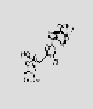 Nc1ncnc2c1ncn2[C@H]1CC(O)[C@@H](COP(=O)(O)OC(CO)CO)O1